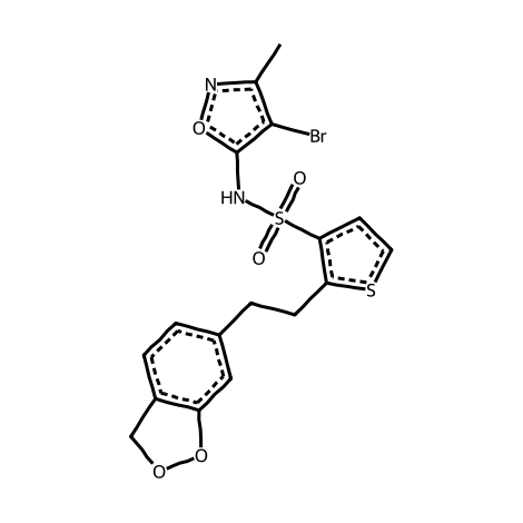 Cc1noc(NS(=O)(=O)c2ccsc2CCc2ccc3c(c2)OOC3)c1Br